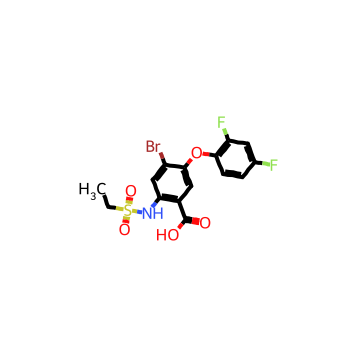 CCS(=O)(=O)Nc1cc(Br)c(Oc2ccc(F)cc2F)cc1C(=O)O